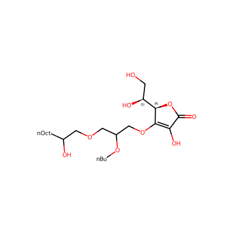 CCCCCCCCC(O)COCC(COC1=C(O)C(=O)O[C@@H]1[C@@H](O)CO)OCCCC